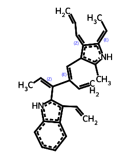 C=C/C=c1/c(/C=C(C=C)/C(=C/C)c2[nH]c3ccccc3c2C=C)c(C)[nH]/c1=C/C